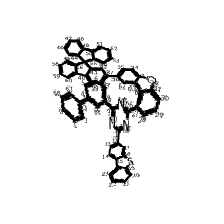 c1ccc(-c2cccc(-c3nc(-c4ccc5c(c4)sc4ccccc45)nc(-c4cccc5oc6ccc(-c7ccc8c(c7)C7(c9ccccc9-c9ccccc97)c7ccccc7-8)cc6c45)n3)c2)cc1